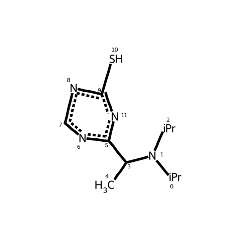 CC(C)N(C(C)C)C(C)c1ncnc(S)n1